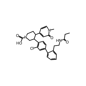 CCC(=O)NCCc1ccccc1-c1ccc(C2CN(C(=O)O)CCC2c2ccn(C)c(=O)c2)c(Cl)c1